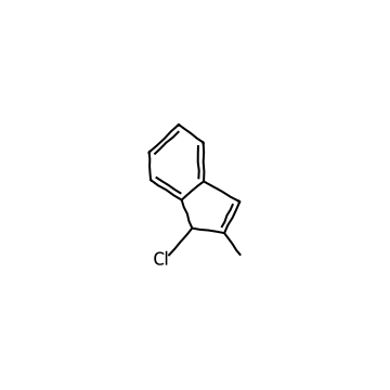 CC1=Cc2ccccc2C1Cl